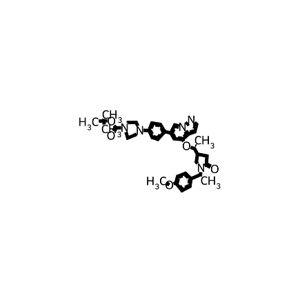 COc1ccc([C@@H](C)N2CC([C@@H](C)Oc3cc(-c4ccc(N5CCN(C(=O)OC(C)(C)C)CC5)cc4)cn4nccc34)CC2=O)cc1